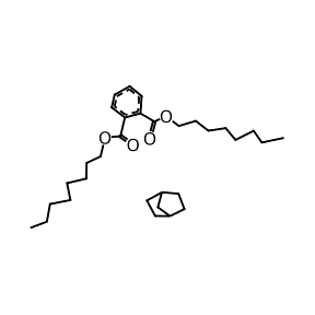 C1CC2CCC1C2.CCCCCCCCOC(=O)c1ccccc1C(=O)OCCCCCCCC